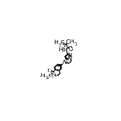 CN(C)C(=O)Nc1cc2n(n1)CCN2c1ccc2c(c1)CCN(C)C2=O